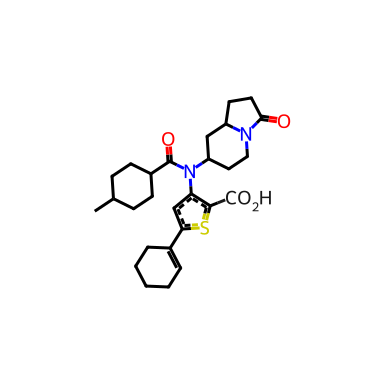 CC1CCC(C(=O)N(c2cc(C3=CCCCC3)sc2C(=O)O)C2CCN3C(=O)CCC3C2)CC1